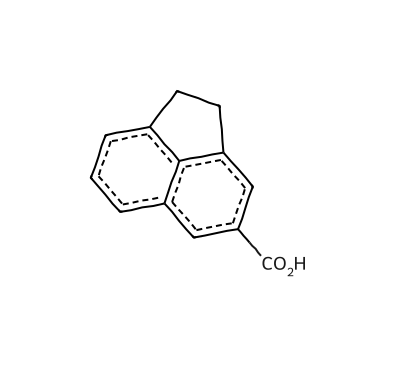 O=C(O)c1cc2c3c(cccc3c1)CC2